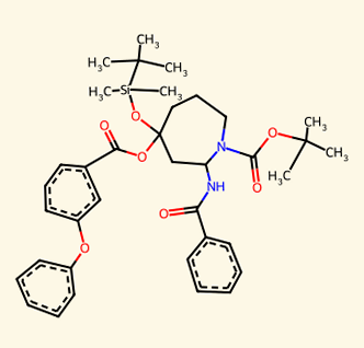 CC(C)(C)OC(=O)N1CCCC(OC(=O)c2cccc(Oc3ccccc3)c2)(O[Si](C)(C)C(C)(C)C)CC1NC(=O)c1ccccc1